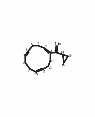 O=C(C1=CCCC=CCCC=CCC1)C1CC1